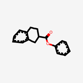 O=C(Oc1ccccc1)C1CCc2ccccc2C1